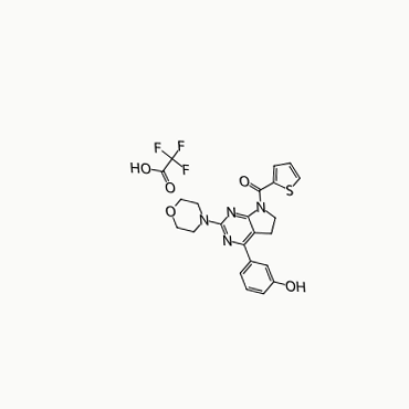 O=C(O)C(F)(F)F.O=C(c1cccs1)N1CCc2c(-c3cccc(O)c3)nc(N3CCOCC3)nc21